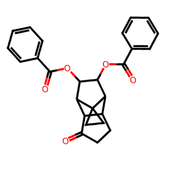 O=C(OC1C(OC(=O)c2ccccc2)C2C3C(=O)CCC3C1C21CC1)c1ccccc1